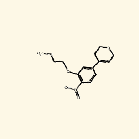 COCCOc1cc(C2=CCOCC2)ccc1[N+](=O)[O-]